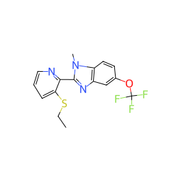 CCSc1cccnc1-c1nc2cc(OC(F)(F)F)ccc2n1C